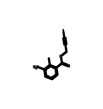 Cc1c(C(=O)OCC#CI)cccc1[N+](=O)[O-]